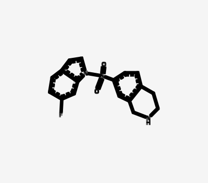 O=S(=O)(c1ccc2c(c1)CNCC2)n1ccc2ccc(F)cc21